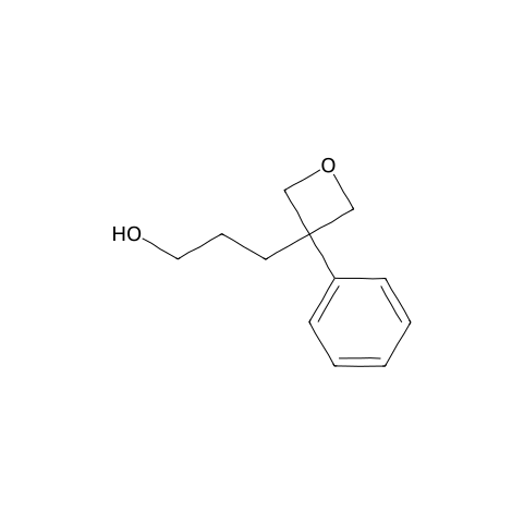 OCCCC1(c2ccccc2)COC1